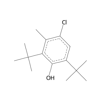 Cc1c(Cl)cc(C(C)(C)C)c(O)c1C(C)(C)C